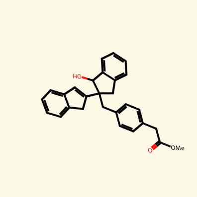 COC(=O)Cc1ccc(CC2(C3=Cc4ccccc4C3)Cc3ccccc3C2O)cc1